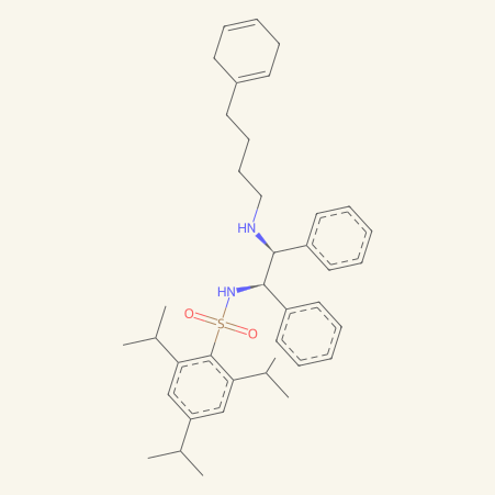 CC(C)c1cc(C(C)C)c(S(=O)(=O)N[C@H](c2ccccc2)[C@@H](NCCCCC2=CCC=CC2)c2ccccc2)c(C(C)C)c1